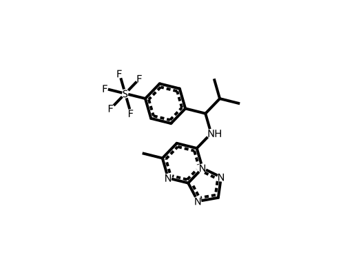 Cc1cc(NC(c2ccc(S(F)(F)(F)(F)F)cc2)C(C)C)n2ncnc2n1